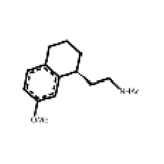 COc1ccc2c(c1)[C@H](CCNC(C)=O)CCC2